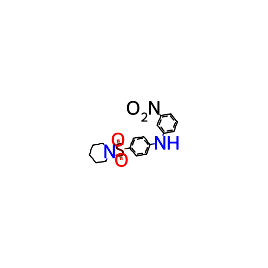 O=[N+]([O-])c1cccc(Nc2ccc(S(=O)(=O)N3CCCCC3)cc2)c1